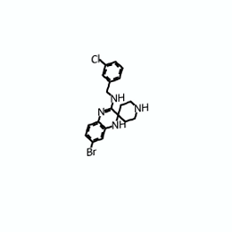 Clc1cccc(CNC2=Nc3ccc(Br)cc3NC23CCNCC3)c1